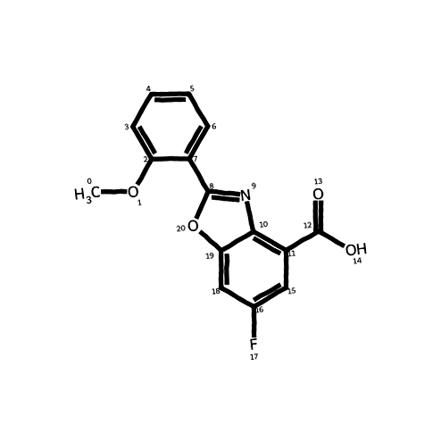 COc1ccccc1-c1nc2c(C(=O)O)cc(F)cc2o1